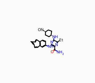 CCc1nc(C(N)=O)c(Nc2ccc3c(c2)\C=C/C=C/C=C/3)nc1N[C@H]1CC[C@H](N=O)CC1